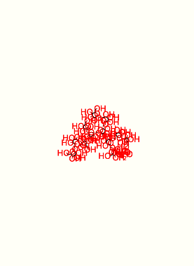 O.O.O.O.OC[C@H]1O[C@H](OC[C@H]2O[C@H](OC[C@H]3O[C@H](OC[C@H]4O[C@H](O[C@]5(CO)O[C@H](CO)[C@@H](O)[C@@H]5O)[C@H](O)[C@@H](O)[C@@H]4O)[C@H](O)[C@@H](O)[C@H]3O)[C@H](O)[C@@H](O)[C@H]2O)[C@H](O)[C@@H](O)[C@H]1O.OC[C@H]1O[C@H](OC[C@H]2O[C@H](OC[C@H]3O[C@H](O[C@]4(CO)O[C@H](CO)[C@@H](O)[C@@H]4O)[C@H](O)[C@@H](O)[C@@H]3O)[C@H](O)[C@@H](O)[C@H]2O)[C@H](O)[C@@H](O)[C@H]1O.OC[C@H]1O[C@H](OC[C@H]2O[C@H](O[C@]3(CO)O[C@H](CO)[C@@H](O)[C@@H]3O)[C@H](O)[C@@H](O)[C@@H]2O)[C@H](O)[C@@H](O)[C@H]1O